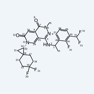 CC(Nc1nn(C)c(=O)c2cc(=O)n([C@H]3CC34CCC(F)(F)CC4)cc12)c1cccc(C(F)F)c1F